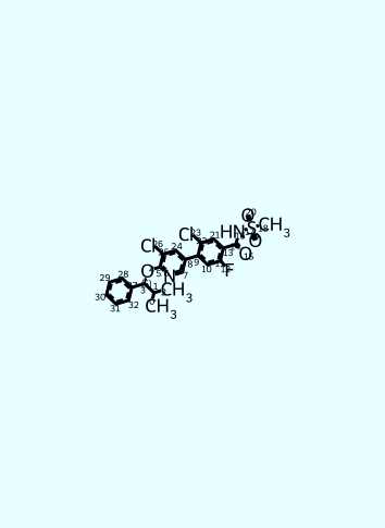 CC(C)[C@H](Oc1ncc(-c2cc(F)c(C(=O)NS(C)(=O)=O)cc2Cl)cc1Cl)c1ccccc1